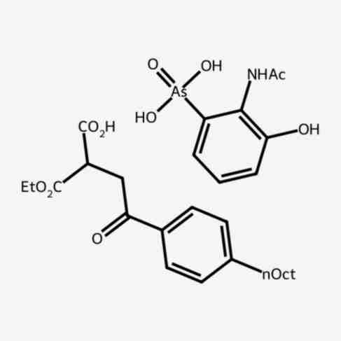 CC(=O)Nc1c(O)cccc1[As](=O)(O)O.CCCCCCCCc1ccc(C(=O)CC(C(=O)O)C(=O)OCC)cc1